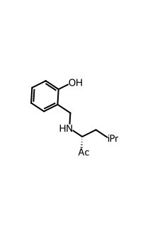 CC(=O)[C@@H](CC(C)C)NCc1ccccc1O